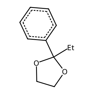 [CH2]CC1(c2ccccc2)OCCO1